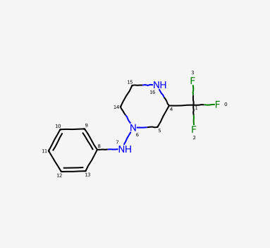 FC(F)(F)C1CN(Nc2ccccc2)CCN1